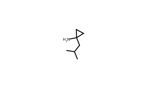 CC(C)CC1(N)CC1